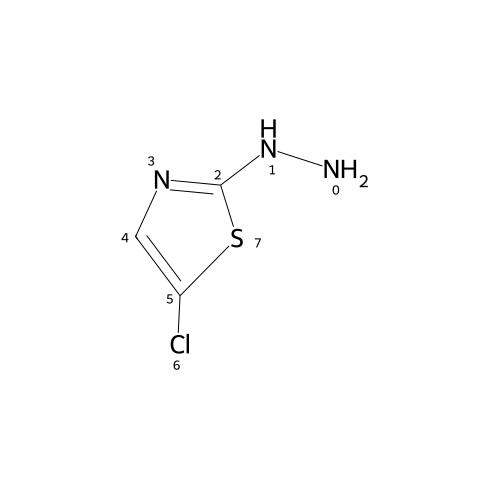 NNc1ncc(Cl)s1